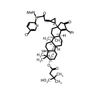 CNN(C(=O)/C=C1\C[C@H]1C12CC[C@]3(C)[C@H](CC[C@@H]4[C@@]5(C)CC[C@H](OC(=O)CC(C)(C)C(=O)O)C(C)(C)[C@@H]5CC[C@]43C)C1=C(C(C)C)C(=O)C2)c1ccc(Cl)cn1